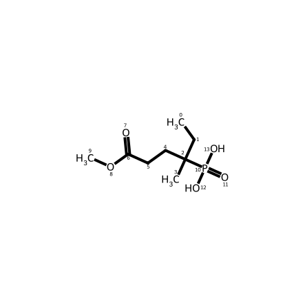 CCC(C)(CCC(=O)OC)P(=O)(O)O